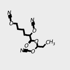 CCC(OC#N)OC(=O)C(CCCCOC#N)OC#N